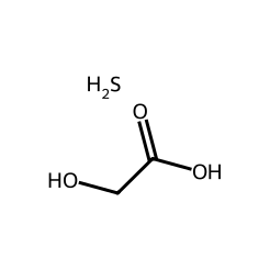 O=C(O)CO.S